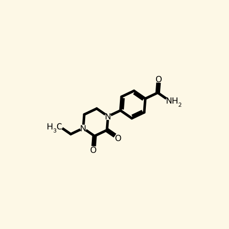 CCN1CCN(c2ccc(C(N)=O)cc2)C(=O)C1=O